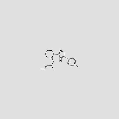 C/C=C/C(C)CN1CCCCC1c1ncc(-c2ccc(C)cc2)[nH]1